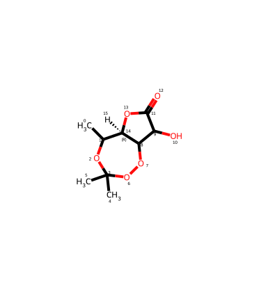 CC1OC(C)(C)OOC2C(O)C(=O)O[C@H]12